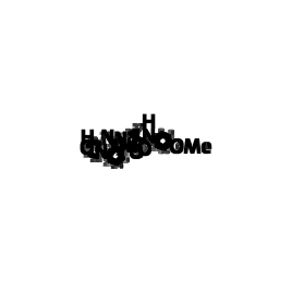 COc1ccc(NC(=O)C2(C(=O)n3nc(N)c4c(N5CCOCC5)cccc43)CC2)cc1